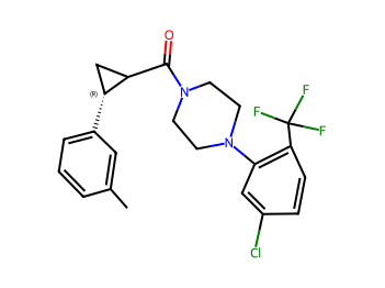 Cc1cccc([C@@H]2CC2C(=O)N2CCN(c3cc(Cl)ccc3C(F)(F)F)CC2)c1